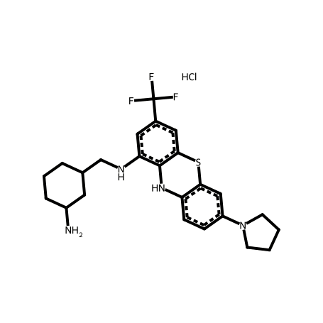 Cl.NC1CCCC(CNc2cc(C(F)(F)F)cc3c2Nc2ccc(N4CCCC4)cc2S3)C1